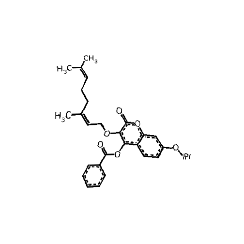 CC(C)=CCCC(C)=CCOc1c(OC(=O)c2ccccc2)c2ccc(OC(C)C)cc2oc1=O